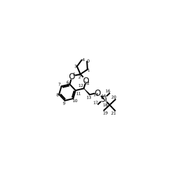 CCC1(CC)Oc2ccccc2[C@H](CO[Si](C)(C)C(C)(C)C)O1